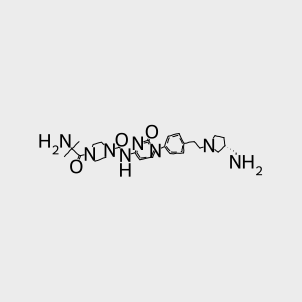 CC(C)(N)C(=O)N1CCN(C(=O)Nc2ccn(-c3ccc(CCN4CC[C@H](CN)C4)cc3)c(=O)n2)CC1